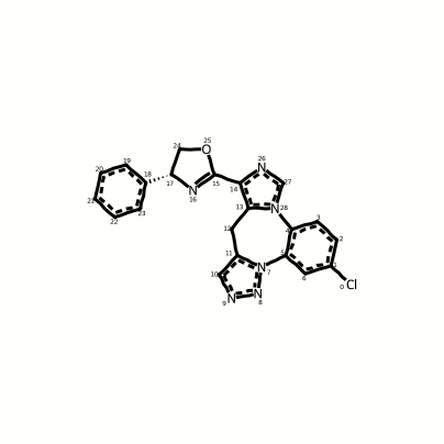 Clc1ccc2c(c1)-n1nncc1Cc1c(C3=N[C@H](c4ccccc4)CO3)ncn1-2